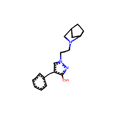 Oc1nn(CCN2CC3CCC2C3)cc1-c1ccccc1